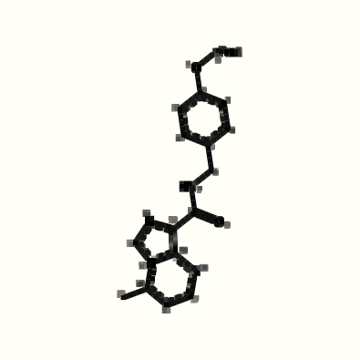 CCCCCOc1ccc(CNC(=O)c2ncn3c(C)ccnc23)cc1